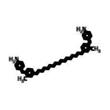 Cc1cc(CCCCCCCCCCCCCCCCCc2ccc(Cc3ccc(N)cc3)c(C)c2)ccc1Cc1ccc(N)cc1